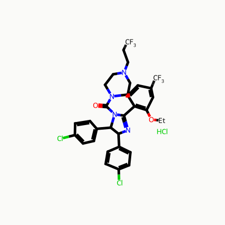 CCOc1cc(C(F)(F)F)ccc1C1=NC(c2ccc(Cl)cc2)C(c2ccc(Cl)cc2)N1C(=O)N1CCN(CCC(F)(F)F)CC1.Cl